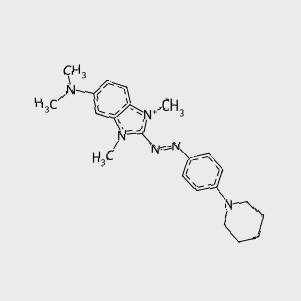 CN(C)c1ccc2c(c1)n(C)c(/N=N/c1ccc(N3CCCCC3)cc1)[n+]2C